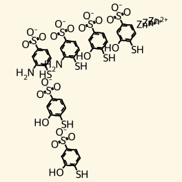 Nc1cc(S(=O)(=O)[O-])ccc1S.Nc1cc(S(=O)(=O)[O-])ccc1S.O=S(=O)([O-])c1ccc(S)c(O)c1.O=S(=O)([O-])c1ccc(S)c(O)c1.O=S(=O)([O-])c1ccc(S)c(O)c1.O=S(=O)([O-])c1ccc(S)c(O)c1.[Zn+2].[Zn+2].[Zn+2]